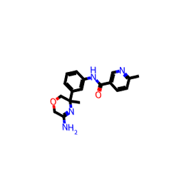 Cc1ccc(C(=O)Nc2cccc(C3(C)COCC(N)=N3)c2)cn1